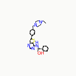 CCN1CCN(Cc2ccc(-c3cc4ncnc(N[C@H](CO)c5ccccc5)c4s3)cc2)CC1